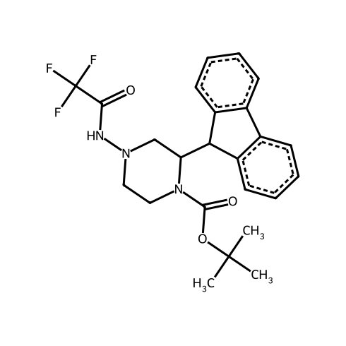 CC(C)(C)OC(=O)N1CCN(NC(=O)C(F)(F)F)CC1C1c2ccccc2-c2ccccc21